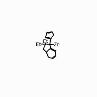 CCC1(CC)CC2CC=CC=C2[C]1([Zr])C1=CC=CC1